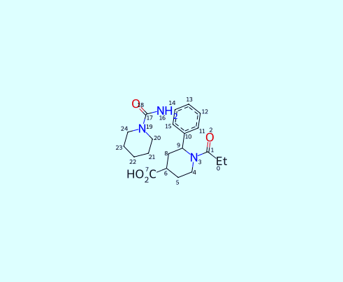 CCC(=O)N1CCC(C(=O)O)CC1c1ccccc1.NC(=O)N1CCCCC1